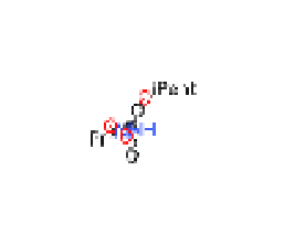 CCCC(C)COc1ccc([C@H](CNC(=O)CC(C)C)NC(=O)Cc2ccccc2)cc1